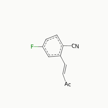 CC(=O)/C=C/c1cc(F)ccc1C#N